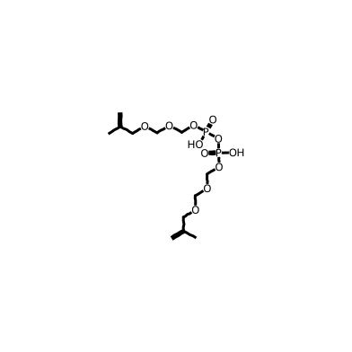 C=C(C)COCOCOP(=O)(O)OP(=O)(O)OCOCOCC(=C)C